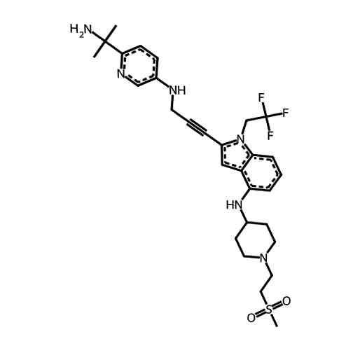 CC(C)(N)c1ccc(NCC#Cc2cc3c(NC4CCN(CCS(C)(=O)=O)CC4)cccc3n2CC(F)(F)F)cn1